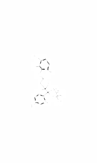 CC[Si](CC)(CC)OC(C)(c1ccc(F)cn1)C(F)(F)CCOc1c(F)ccc(Br)c1F